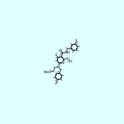 CCSc1nc(N(CCOC)Cc2ccc(F)cc2)cc(C)c1C(=O)NCc1cccc(F)c1